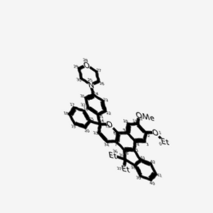 CCOc1cc2c3c(c4c(c2cc1OC)OC(c1ccccc1)(c1ccc(N2CCOCC2)cc1)C=C4)C(CC)(CC)c1ccccc1-3